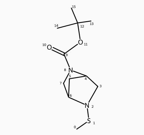 CSN1CC2CC1CN2C(=O)OC(C)(C)C